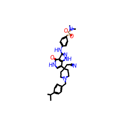 CC(C)c1ccc(CN2CCC(CC#N)(c3c[nH]c(=O)c4c(Nc5ccc(S(=O)(=O)N(C)C)cc5)n[nH]c34)CC2)cc1